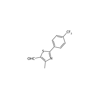 Cc1nc(-c2ccc(C(F)(F)F)cc2)sc1[C]=O